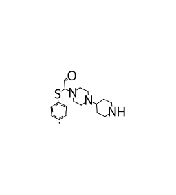 O=CC(Sc1cc[c]cc1)N1CCN(C2CCNCC2)CC1